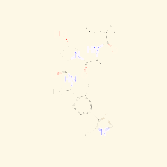 Cc1cc(-c2scnc2C)ccc1C(C)NC(=O)[C@@H]1C[C@@H](O)CN1C(=O)[C@@H](NC(=O)C1(C#N)CC1)C(C)(C)C